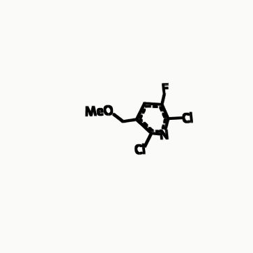 COCc1cc(F)c(Cl)nc1Cl